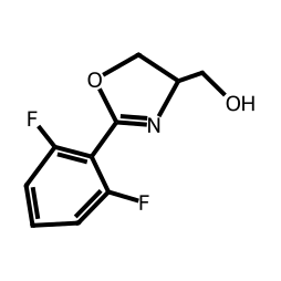 OCC1COC(c2c(F)cccc2F)=N1